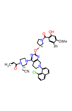 C=CC(=O)N1CCN(c2nc(OC[C@@H]3CCN(C(=O)c4cc(C(C)C)c(OC)cc4O)C3)nc3c2CCN(c2cccc4cccc(Cl)c24)C3)C[C@@H]1CC#N